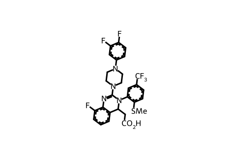 CSc1ccc(C(F)(F)F)cc1N1C(N2CCN(c3ccc(F)c(F)c3)CC2)=Nc2c(F)cccc2C1CC(=O)O